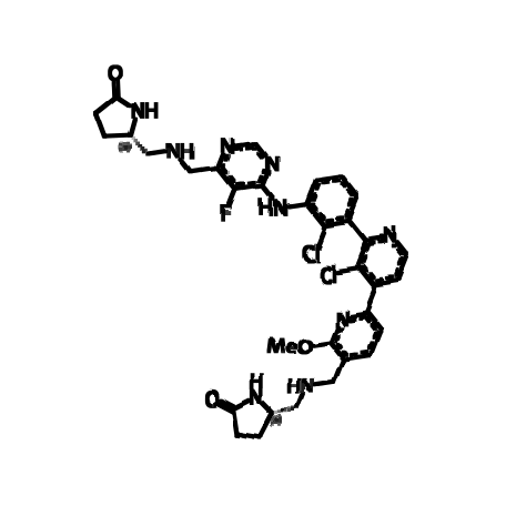 COc1nc(-c2ccnc(-c3cccc(Nc4ncnc(CNC[C@@H]5CCC(=O)N5)c4F)c3Cl)c2Cl)ccc1CNC[C@@H]1CCC(=O)N1